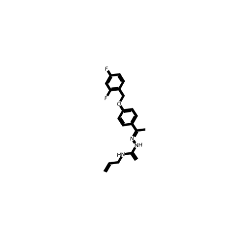 C=CCNC(=C)N/N=C(\C)c1ccc(OCc2ccc(F)cc2F)cc1